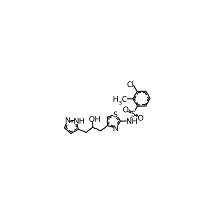 Cc1c(Cl)cccc1S(=O)(=O)Nc1nc(CC(O)Cc2ccn[nH]2)cs1